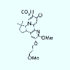 COCCCOc1cc2c(nc1OC)-c1cc(=O)c(C(=O)O)cn1C1C2CCC1(C)C